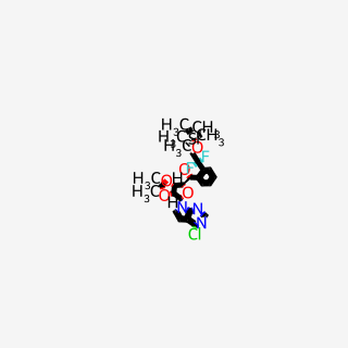 CC1(C)O[C@@H]2[C@H](O1)[C@@H](C(=O)c1ccccc1C(F)(F)CO[Si](C)(C)C(C)(C)C)O[C@H]2n1ccc2c(Cl)ncnc21